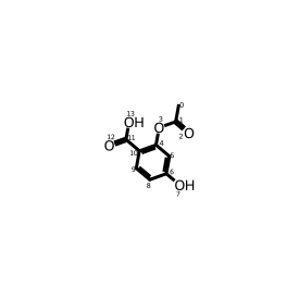 CC(=O)Oc1cc(O)ccc1C(=O)O